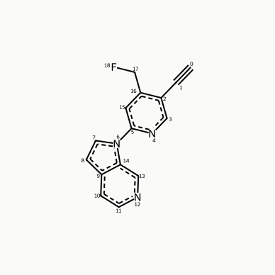 C#Cc1cnc(-n2ccc3ccncc32)cc1CF